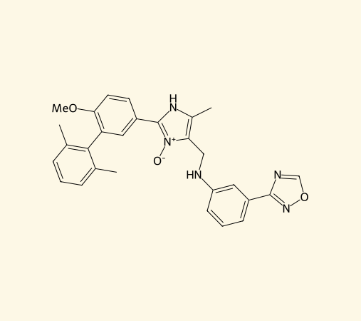 COc1ccc(-c2[nH]c(C)c(CNc3cccc(-c4ncon4)c3)[n+]2[O-])cc1-c1c(C)cccc1C